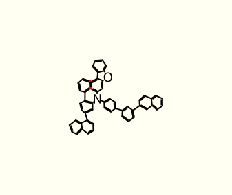 c1ccc(-c2ccc(-c3cccc4ccccc34)cc2N(c2ccc(-c3cccc(-c4ccc5ccccc5c4)c3)cc2)c2ccc3c(c2)oc2ccccc23)cc1